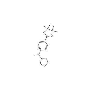 CC(c1ccc(B2OC(C)(C)C(C)(C)O2)cc1)N1CCCC1